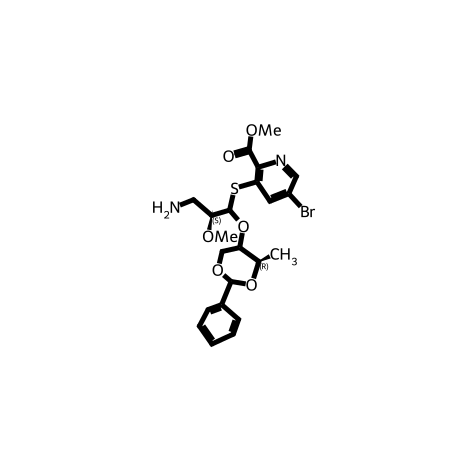 COC(=O)c1ncc(Br)cc1SC(OC1COC(c2ccccc2)O[C@@H]1C)[C@H](CN)OC